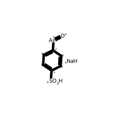 O=[As]c1ccc(S(=O)(=O)O)cc1.[NaH]